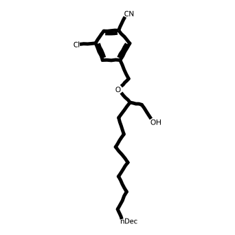 CCCCCCCCCCCCCCCCCC(CO)OCc1cc(Cl)cc(C#N)c1